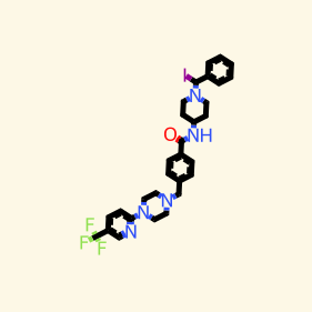 O=C(NC1CCN(C(I)c2ccccc2)CC1)c1ccc(CN2CCN(c3ccc(C(F)(F)F)cn3)CC2)cc1